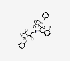 O=C(C/C=C/[C@H](Cc1cccc(F)c1)C(=O)N1C(=O)OC[C@@H]1Cc1ccccc1)N1C(=O)OC[C@@H]1Cc1ccccc1